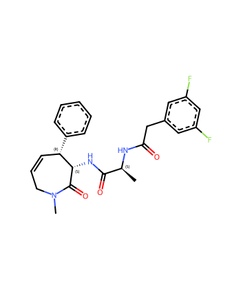 C[C@H](NC(=O)Cc1cc(F)cc(F)c1)C(=O)N[C@@H]1C(=O)N(C)CC=C[C@@H]1c1ccccc1